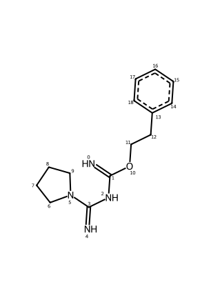 N=C(NC(=N)N1CCCC1)OCCc1ccccc1